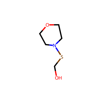 OCSN1CCOCC1